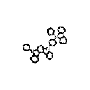 c1ccc(-n2c3ccccc3c3c4c5ccccc5n(-c5ccc([Si](c6ccccc6)(c6ccccc6)c6ccccc6)cc5)c4ccc32)cc1